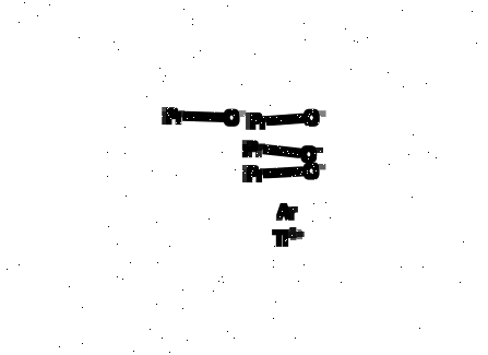 CC(C)[O-].CC(C)[O-].CC(C)[O-].CC(C)[O-].[Ar].[Ti+4]